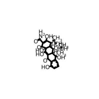 CN(C)[C@@H]1C(O)=C(C(N)=O)C(=O)[C@@]2(O)C(O)=C3C(=O)c4c(O)cccc4[C@@](C)(O)[C@H]3[C@H](O)[C@@H]12.CO